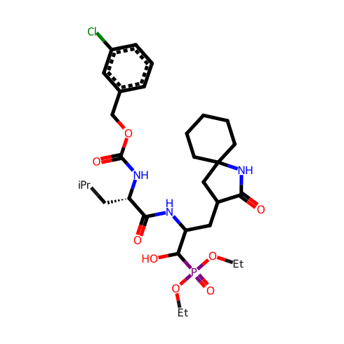 CCOP(=O)(OCC)C(O)C(CC1CC2(CCCCC2)NC1=O)NC(=O)[C@H](CC(C)C)NC(=O)OCc1cccc(Cl)c1